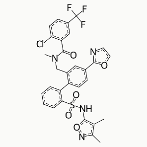 Cc1noc(NS(=O)(=O)c2ccccc2-c2ccc(-c3ncco3)cc2CN(C)C(=O)c2cc(C(F)(F)F)ccc2Cl)c1C